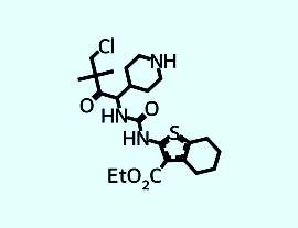 CCOC(=O)c1c(NC(=O)NC(C(=O)C(C)(C)CCl)C2CCNCC2)sc2c1CCCC2